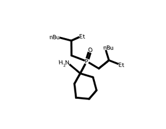 CCCCC(CC)CP(=O)(CC(CC)CCCC)C1(N)CCCCC1